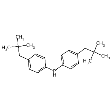 CC(C)(C)Cc1ccc(Pc2ccc(CC(C)(C)C)cc2)cc1